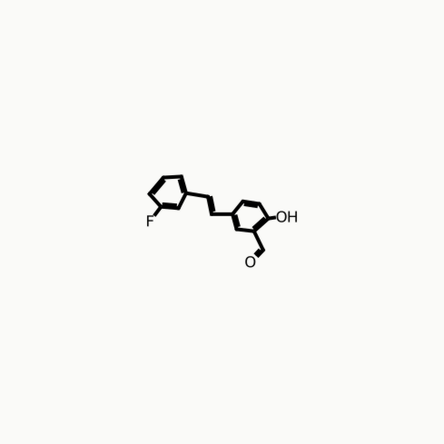 O=Cc1cc(C=Cc2cccc(F)c2)ccc1O